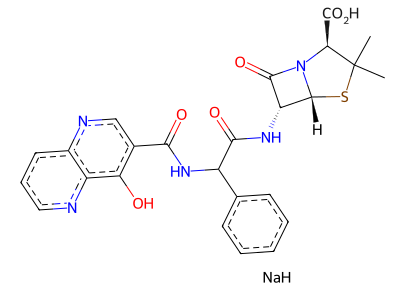 CC1(C)S[C@@H]2[C@H](NC(=O)C(NC(=O)c3cnc4cccnc4c3O)c3ccccc3)C(=O)N2[C@H]1C(=O)O.[NaH]